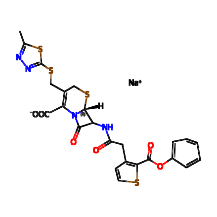 Cc1nnc(SCC2=C(C(=O)[O-])N3C(=O)C(NC(=O)Cc4ccsc4C(=O)Oc4ccccc4)[C@H]3SC2)s1.[Na+]